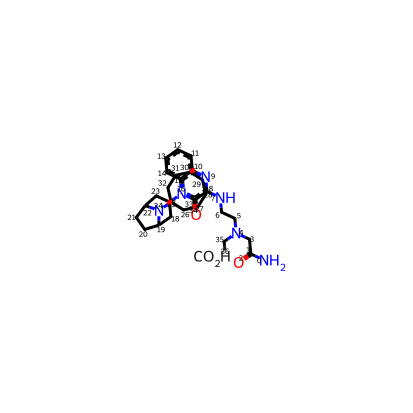 NC(=O)CN(CCNc1nc2ccccc2n(C2CC3CCC(C2)N3C2CCCCCCC2)c1=O)CC(=O)O